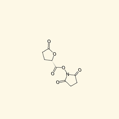 O=C1CC[C@@H](C(=O)ON2C(=O)CCC2=O)O1